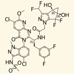 COc1nc2nc([C@H](Cc3cc(F)cc(F)c3)NC(=O)Cn3nc(C(F)F)c4c3C(F)(F)[C@@]3(O)C[C@@]43O)n(-c3ccc(Cl)c4c(NS(C)(=O)=O)nn(C)c34)c(=O)c2cc1Cl